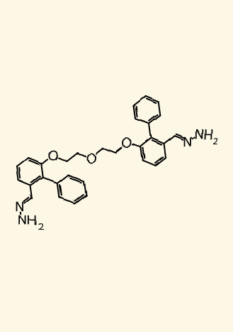 NN=Cc1cccc(OCCOCCOc2cccc(C=NN)c2-c2ccccc2)c1-c1ccccc1